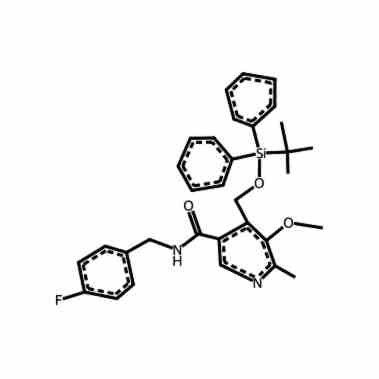 COc1c(C)ncc(C(=O)NCc2ccc(F)cc2)c1CO[Si](c1ccccc1)(c1ccccc1)C(C)(C)C